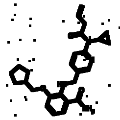 C=CCC(=O)N(c1ccc(CNc2c(OCC3CCCC3)cccc2C(N)=O)cn1)C1CC1